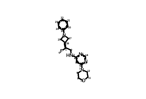 FC(CNc1cc(N2CCOCC2)ncn1)=C1CN(c2ccccc2)C1